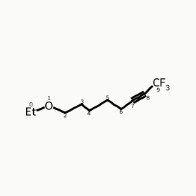 [CH2]COCCCCCC#CC(F)(F)F